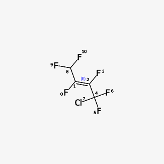 F/C(=C(/F)C(F)(F)Cl)C(F)F